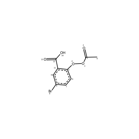 CC(=O)OOc1ccc(Br)cc1C(=O)O